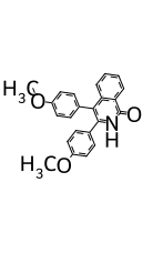 COc1ccc(-c2[nH]c(=O)c3ccccc3c2-c2ccc(OC)cc2)cc1